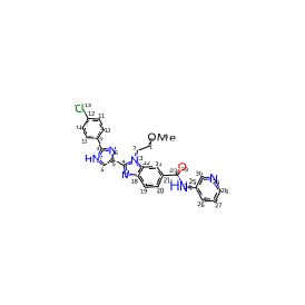 COCCn1c(-c2c[nH]c(-c3ccc(Cl)cc3)n2)nc2ccc(C(=O)Nc3cccnc3)cc21